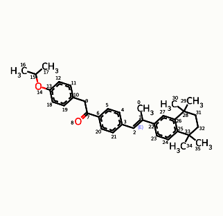 C/C(=C\c1ccc(C(=O)Cc2ccc(OC(C)C)cc2)cc1)c1ccc2c(c1)C(C)(C)CCC2(C)C